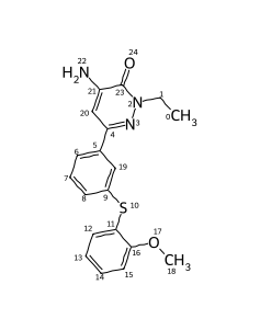 CCn1nc(-c2cccc(Sc3ccccc3OC)c2)cc(N)c1=O